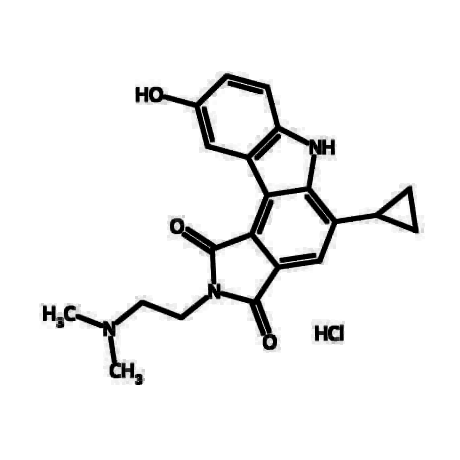 CN(C)CCN1C(=O)c2cc(C3CC3)c3[nH]c4ccc(O)cc4c3c2C1=O.Cl